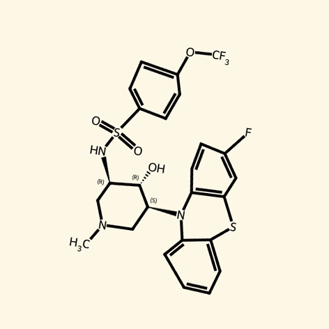 CN1C[C@@H](NS(=O)(=O)c2ccc(OC(F)(F)F)cc2)[C@H](O)[C@@H](N2c3ccccc3Sc3cc(F)ccc32)C1